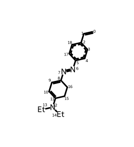 C=Cc1ccc(N=NC2=CC=C(N(CC)CC)CC2)cc1